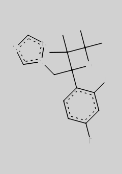 CC1(C)OC(Cn2cncn2)(c2ccc(F)cc2F)C1(C)C